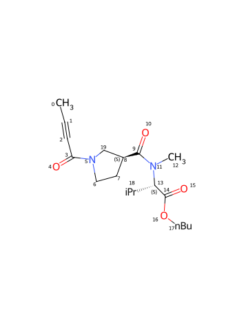 CC#CC(=O)N1CC[C@H](C(=O)N(C)[C@H](C(=O)OCCCC)C(C)C)C1